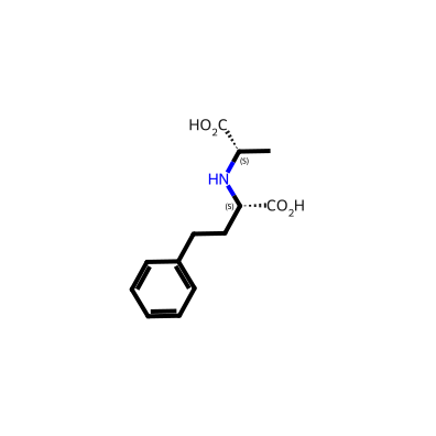 C[C@H](N[C@@H](CCc1ccccc1)C(=O)O)C(=O)O